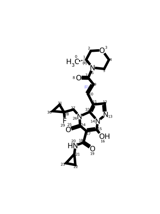 C[C@@H]1COCCN1C(=O)/C=C/c1cnn2c(O)c(C(=O)NC3CC3)c(=O)n(CC3(F)CC3)c12